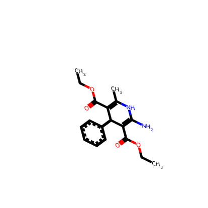 CCOC(=O)C1=C(C)NC(N)=C(C(=O)OCC)C1c1ccccc1